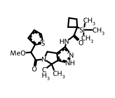 COC(C(=O)N1Cc2c(NC(=O)C3([Si](C)(C)C)CCC3)n[nH]c2C1(C)C)c1cccs1